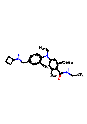 C=CN(c1cc(OC)c(C(=O)NCC(F)(F)F)c(OC)c1)c1ccc(CNC2CCC2)cc1C